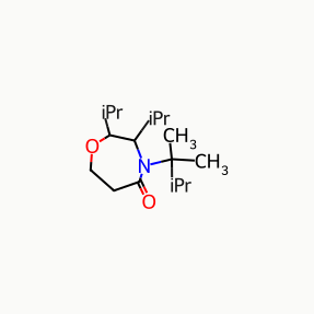 CC(C)C1OCCC(=O)N(C(C)(C)C(C)C)C1C(C)C